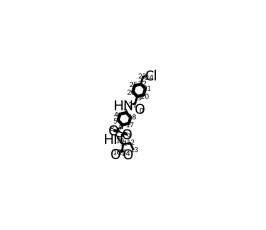 O=C(Nc1ccc(S(=O)(=O)N[C@H]2CCOC2=O)cc1)c1ccc(CCl)cc1